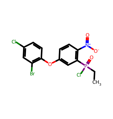 CCP(=O)(Cl)c1cc(Oc2ccc(Cl)cc2Br)ccc1[N+](=O)[O-]